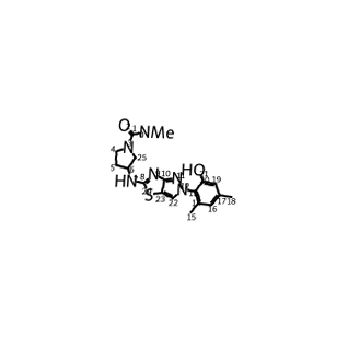 CNC(=O)N1CCC(Nc2nc3nn(-c4c(C)cc(C)cc4O)cc3s2)C1